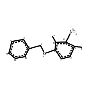 Cc1ccc(OCc2ccccc2)c(C)c1[N+](=O)[O-]